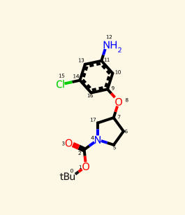 CC(C)(C)OC(=O)N1CCC(Oc2cc(N)cc(Cl)c2)C1